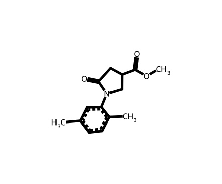 COC(=O)C1CC(=O)N(c2cc(C)ccc2C)C1